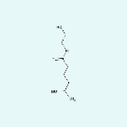 CC(O)CCCC(=O)NCCO